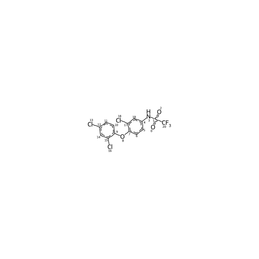 O=S(=O)(Nc1ccc(Oc2ccc(Cl)cc2Cl)c(Cl)c1)C(F)(F)F